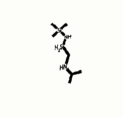 CC(C)NC[SiH2]N[Si](C)(C)C